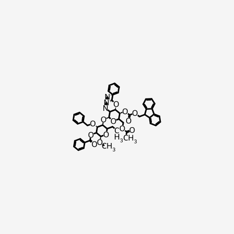 CCC1O[C@@H](OC)C(OC(=O)c2ccccc2)[C@H](OCc2ccccc2)[C@H]1O[C@@H]1OC(COC(C)=O)[C@H](OC(=O)OCC2c3ccccc3-c3ccccc32)[C@@H](OCc2ccccc2)C1N=[N+]=[N-]